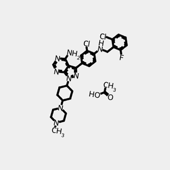 CC(=O)O.CN1CCN(C2CCC(n3nc(-c4ccc(NCc5c(F)cccc5Cl)c(Cl)c4)c4c(N)ncnc43)CC2)CC1